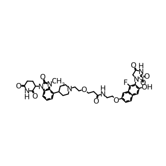 Cn1c(=O)n(C2CCC(=O)NC2=O)c2cccc(C3CCN(CCOCCC(=O)NCCOc4ccc5cc(O)c(N6CC(=O)NS6(=O)=O)c(F)c5c4)CC3)c21